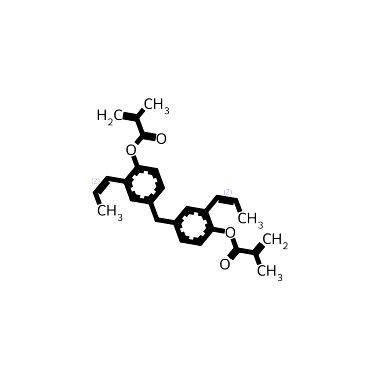 C=C(C)C(=O)Oc1ccc(Cc2ccc(OC(=O)C(=C)C)c(/C=C\C)c2)cc1/C=C\C